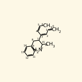 C=C/C=C(\C=C/C)C(Cc1ccccc1)C(C)N